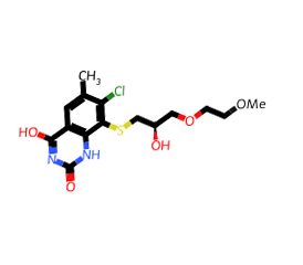 COCCOC[C@@H](O)CSc1c(Cl)c(C)cc2c(O)nc(=O)[nH]c12